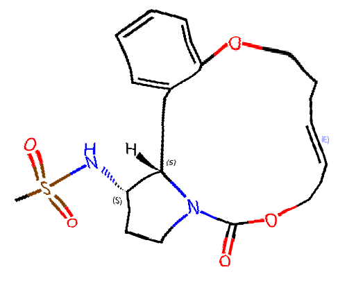 CS(=O)(=O)N[C@H]1CCN2C(=O)OC/C=C/CCOc3ccccc3C[C@@H]12